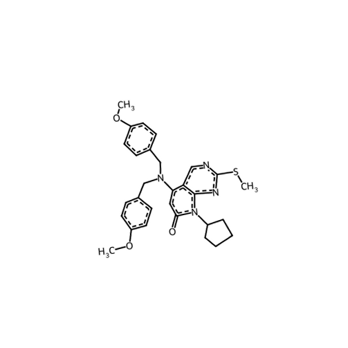 COc1ccc(CN(Cc2ccc(OC)cc2)c2cc(=O)n(C3CCCC3)c3nc(SC)ncc23)cc1